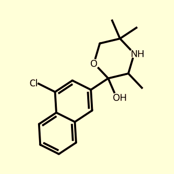 CC1NC(C)(C)COC1(O)c1cc(Cl)c2ccccc2c1